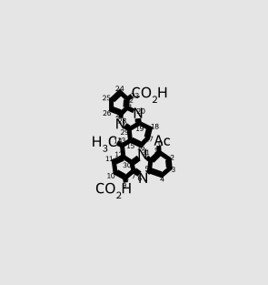 CC(=O)c1cccc2nc3c(C(=O)O)ccc(C(C)c4cccc5nc6c(C(=O)O)cccc6nc45)c3nc12